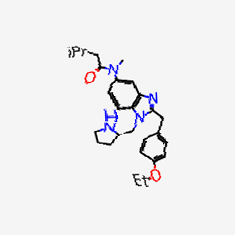 CCOc1ccc(Cc2nc3cc(N(C)C(=O)CC(C)C)ccc3n2C[C@H]2CCCN2)cc1